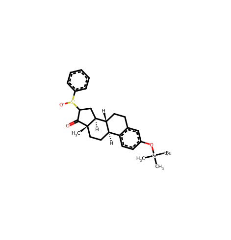 CC(C)(C)[Si](C)(C)Oc1ccc2c(c1)CC[C@@H]1[C@@H]2CC[C@]2(C)C(=O)C([S+]([O-])c3ccccc3)C[C@@H]12